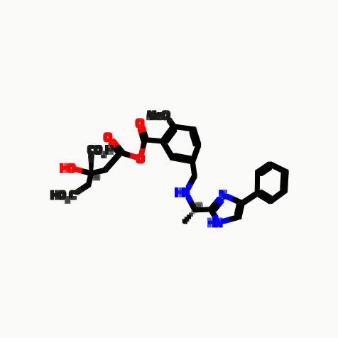 COc1ccc(CN[C@@H](C)c2nc(-c3ccccc3)c[nH]2)cc1C(=O)OC(=O)C[C@@](O)(CC(=O)O)C(=O)O